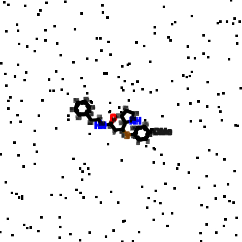 COc1ccc(SC(CC(=O)NCCc2ccccc2)C2CCCN2)cc1